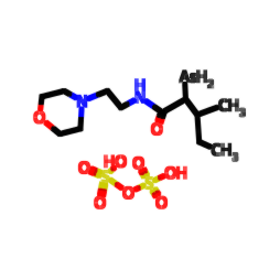 CCC(C)C([AsH2])C(=O)NCCN1CCOCC1.O=S(=O)(O)OS(=O)(=O)O